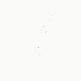 COC(=O)C1c2ccc(OCC3CC3)cc2CCN1Cc1ccc([C@H](C)NC(C)=O)cc1